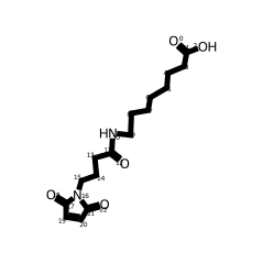 O=C(O)CCCCCCCNC(=O)CCCN1C(=O)C=CC1=O